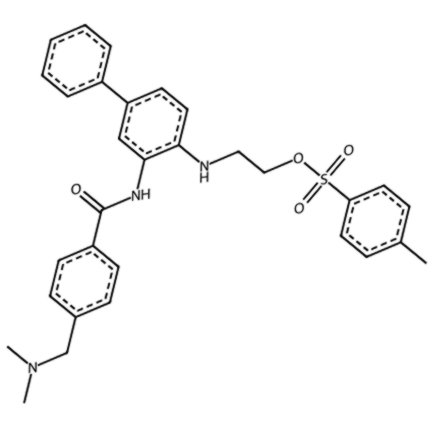 Cc1ccc(S(=O)(=O)OCCNc2ccc(-c3ccccc3)cc2NC(=O)c2ccc(CN(C)C)cc2)cc1